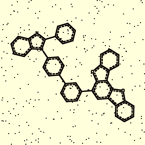 c1ccc(-c2nc3ccccc3n2-c2ccc(-c3cccc(-c4cc5c6ccccc6oc5c5c4oc4ccccc45)c3)cc2)cc1